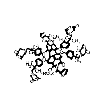 CC(C)(CN(CC1CO1)CC1CO1)c1ccc(Oc2cc3c4c(cc(Oc5ccc(C(C)(C)CN(CC6CO6)CC6CO6)cc5)c5c6c(Oc7ccc(C(C)(C)CN(CC8CO8)CC8CO8)cc7)cc7c8c(cc(Oc9ccc(C(C)(C)CN(CC%10CO%10)CC%10CO%10)cc9)c(c2c45)c86)C(=O)N(C(C(=O)O)c2cccs2)C7=O)C(=O)N(C(C(=O)O)c2cccs2)C3=O)cc1